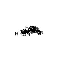 CCOC(CNC(=O)c1ccc(C)c(-n2c(C)nc(OCc3ccc(F)cc3F)c(Br)c2=O)c1)C(=O)N(C)C